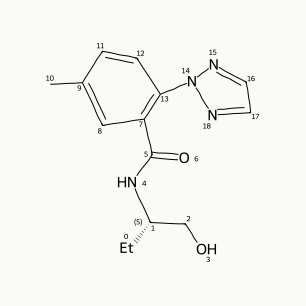 CC[C@@H](CO)NC(=O)c1cc(C)ccc1-n1nccn1